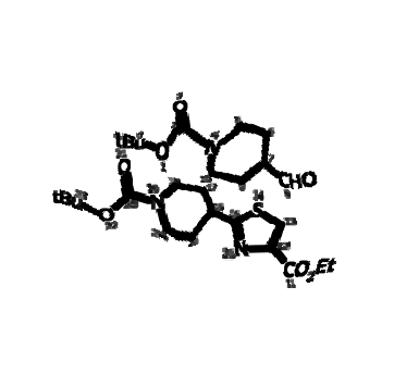 CC(C)(C)OC(=O)N1CCC(C=O)CC1.CCOC(=O)C1CSC(C2CCN(C(=O)OC(C)(C)C)CC2)=N1